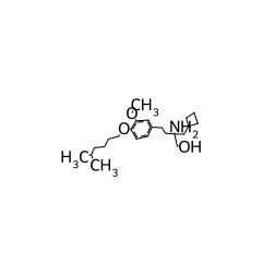 COc1cc(CC[C@@](N)(CO)CC2CCC2)ccc1OCCCCC(C)C